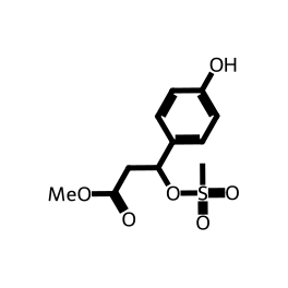 COC(=O)CC(OS(C)(=O)=O)c1ccc(O)cc1